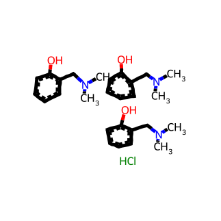 CN(C)Cc1ccccc1O.CN(C)Cc1ccccc1O.CN(C)Cc1ccccc1O.Cl